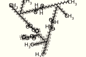 CCCCCCCCC(CCCCCCCCC(=O)NCCNC(=O)CCCCCCCCC(CCCCCCCC)C(CCCCCCCC)CCCCCCCCC(=O)OCCOc1ccccc1)C(CCCCCCCC)CCCCCCCCC(=O)NCCNC(=O)CCCCCCCCC(CCCCCCCC)C(CCCCCCCC)CCCCCCCCC(=O)OCCOc1ccccc1